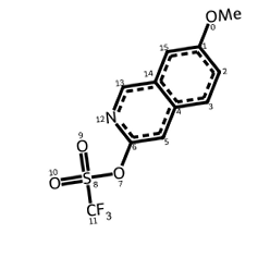 COc1ccc2cc(OS(=O)(=O)C(F)(F)F)ncc2c1